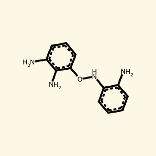 Nc1ccccc1NOc1cccc(N)c1N